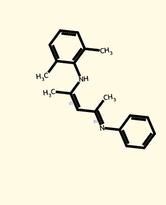 C/C(=C/C(C)=N/c1ccccc1)Nc1c(C)cccc1C